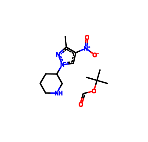 CC(C)(C)OC=O.Cc1nn(C2CCCNC2)cc1[N+](=O)[O-]